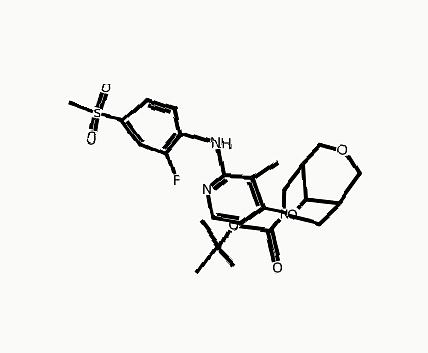 Cc1c(OC2C3COCC2CN(C(=O)OC(C)(C)C)C3)ccnc1Nc1ccc(S(C)(=O)=O)cc1F